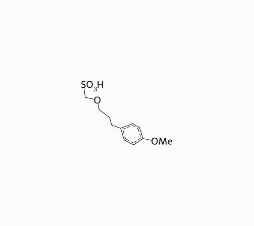 COc1ccc(CCCOCS(=O)(=O)O)cc1